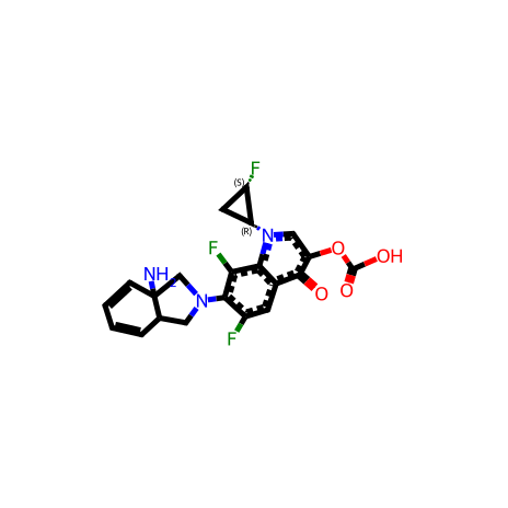 NC12C=CC=CC1CN(c1c(F)cc3c(=O)c(OC(=O)O)cn([C@@H]4C[C@@H]4F)c3c1F)C2